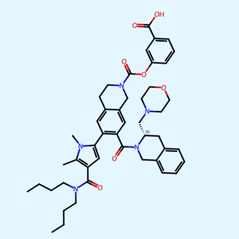 CCCCN(CCCC)C(=O)c1cc(-c2cc3c(cc2C(=O)N2Cc4ccccc4C[C@H]2CN2CCOCC2)CN(C(=O)Oc2cccc(C(=O)O)c2)CC3)n(C)c1C